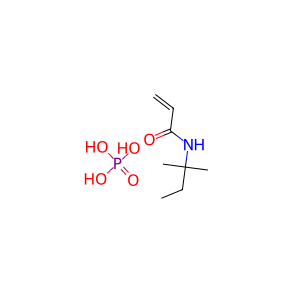 C=CC(=O)NC(C)(C)CC.O=P(O)(O)O